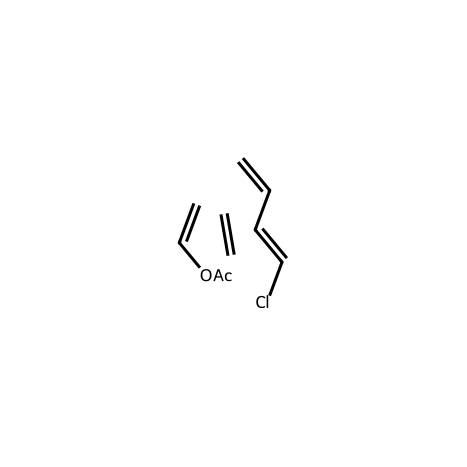 C=C.C=CC=CCl.C=COC(C)=O